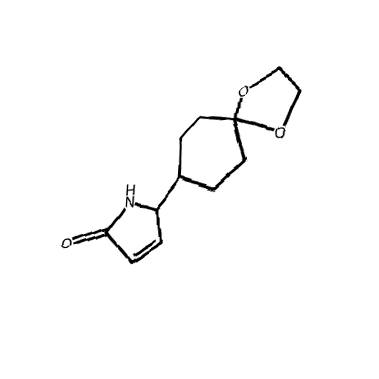 O=C1C=CC(C2CCC3(CC2)OCCO3)N1